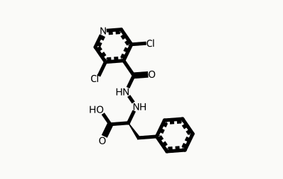 O=C(NN[C@@H](Cc1ccccc1)C(=O)O)c1c(Cl)cncc1Cl